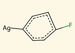 Fc1cc[c]([Ag])cc1